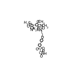 COc1cc(-c2cn(C)c(=O)c3cnccc23)cc(OC)c1CN(C)CC(=O)NCCCCOc1ccc(-c2ccc3c(c2)C(=O)C(C2CCC(=O)NC2=O)C3=O)cc1